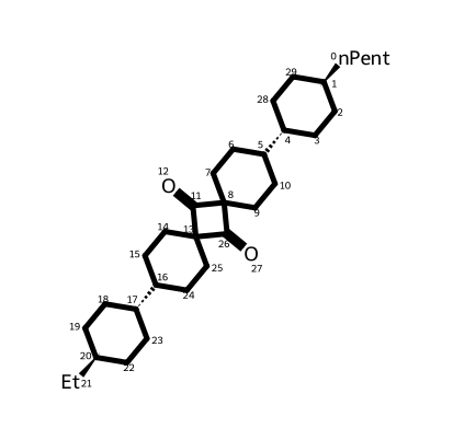 CCCCC[C@H]1CC[C@H](C2CCC3(CC2)C(=O)C2(CCC([C@H]4CC[C@H](CC)CC4)CC2)C3=O)CC1